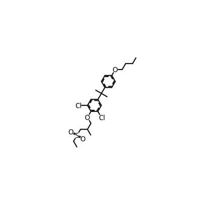 CCCCOc1ccc(C(C)(C)c2cc(Cl)c(OCC(C)CS(=O)(=O)CC)c(Cl)c2)cc1